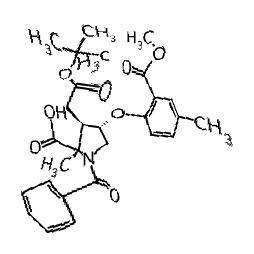 COC(=O)c1cc(C)ccc1O[C@@H]1CN(C(=O)c2ccccc2)[C@](C)(C(=O)O)[C@H]1CC(=O)OC(C)(C)C